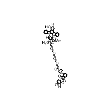 CO[C@@H]1[C@H](N(C)C(=O)CCOCCOCCOCCOCCC(=O)N2CCN(c3cccc4c3C(=O)N(C3CCC(=O)NC3=O)C4=O)CC2)C[C@H]2O[C@]1(C)n1c3ccccc3c3c4c(c5c6ccccc6n2c5c31)C(O)NC4